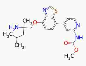 COC(=O)Nc1cc(-c2ccc(OCC(C)(N)CC(C)C)c3ncsc23)ccn1